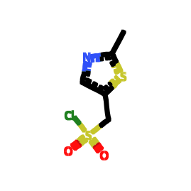 Cc1ncc(CS(=O)(=O)Cl)s1